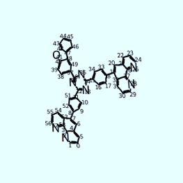 c1cnc2c(c1)cc(-c1ccc(-c3nc(-c4ccc(-c5cc6cccnc6c6ncccc56)cc4)nc(-c4ccc5oc6ccccc6c5c4)n3)cc1)c1cccnc12